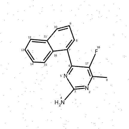 Cc1nc(N)nc(-c2cccc3ccccc23)c1F